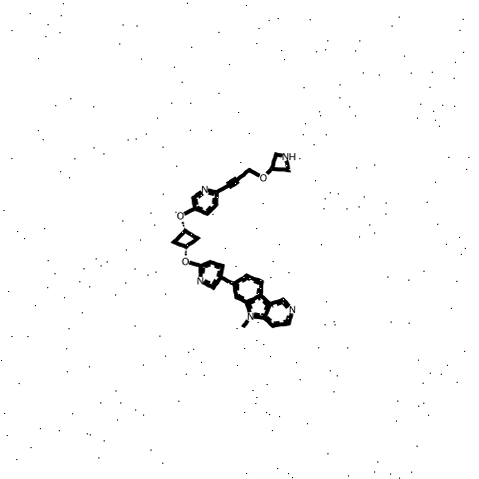 Cn1c2ccncc2c2ccc(-c3ccc(O[C@H]4C[C@@H](Oc5ccc(C#CCOC6CNC6)nc5)C4)nc3)cc21